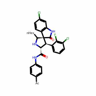 CCCCCCC1N[C@@H](C(=O)Nc2ccc(C(C)=O)cc2)[C@H](c2cccc(Cl)c2F)[C@]12C(=O)Nc1cc(Cl)ccc12